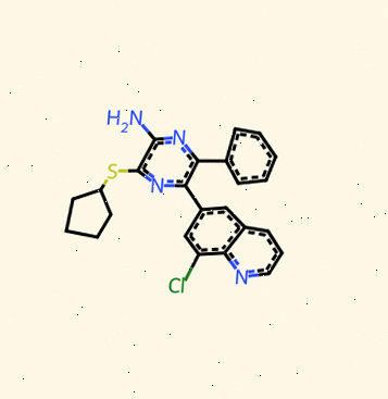 Nc1nc(-c2ccccc2)c(-c2cc(Cl)c3ncccc3c2)nc1SC1CCCC1